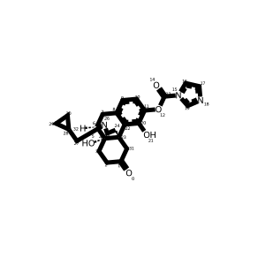 O=C1CC[C@@]2(O)[C@H]3Cc4ccc(OC(=O)n5ccnc5)c(O)c4[C@@]2(CCN3CC2CC2)C1